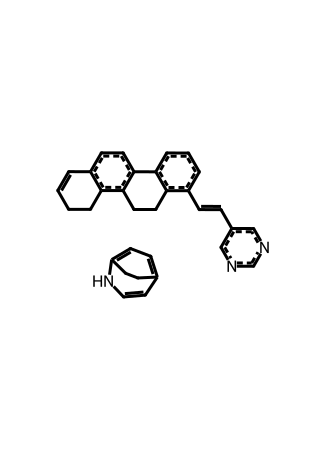 C1=CC2=CC=C(CC2)N1.C1=Cc2ccc3c(c2CC1)CCc1c(/C=C/c2cncnc2)cccc1-3